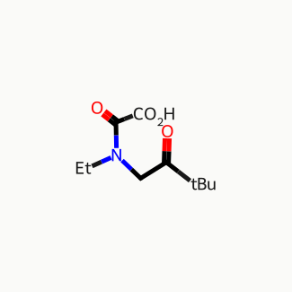 CCN(CC(=O)C(C)(C)C)C(=O)C(=O)O